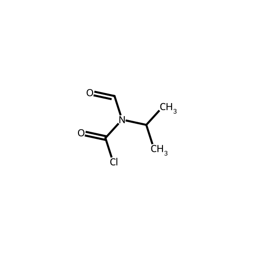 CC(C)N(C=O)C(=O)Cl